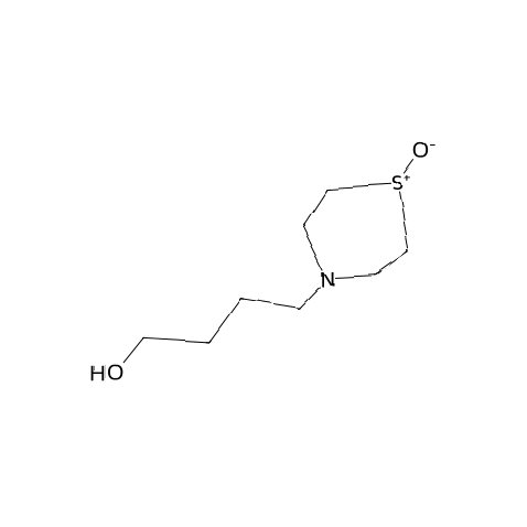 [O-][S+]1CCN(CCCCO)CC1